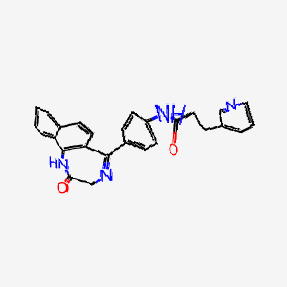 O=C(CCc1cccnc1)Nc1ccc(C2=NCC(=O)Nc3c2ccc2ccccc32)cc1